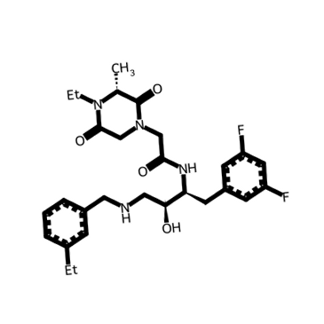 CCc1cccc(CNC[C@H](O)[C@H](Cc2cc(F)cc(F)c2)NC(=O)CN2CC(=O)N(CC)[C@H](C)C2=O)c1